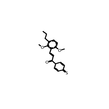 CCCc1ccc(OC)c(/C=C/C(=O)C2C=CC(=S)C=C2)c1OC